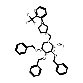 C[C@@H]1[C@@H](OCc2ccccc2)[C@H](OCc2ccccc2)[C@@H](OCc2ccccc2)CN1C[C@H]1CCN(c2cccnc2C(F)(F)F)C1